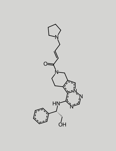 O=C(/C=C/CN1CCCC1)N1CCc2c(cn3ncnc(N[C@H](CO)c4ccccc4)c23)C1